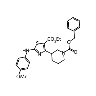 CCOC(=O)c1sc(Nc2ccc(OC)cc2)nc1C1CCCN(C(=O)OCc2ccccc2)C1